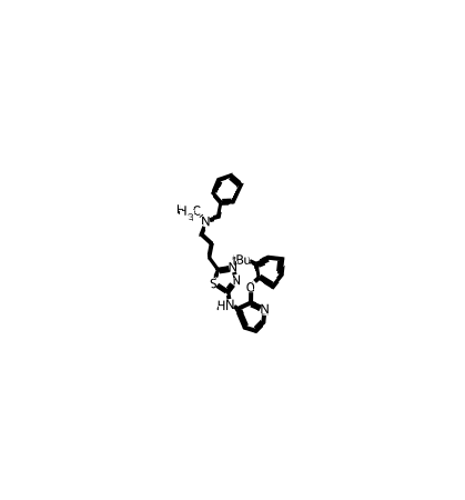 CN(CCCc1nnc(Nc2cccnc2Oc2ccccc2C(C)(C)C)s1)Cc1ccccc1